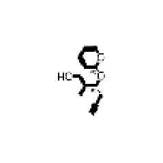 C#CC[C@@H](O[C@H]1C=CC=CO1)C(C)CO